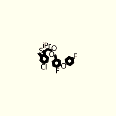 CC(C)C(C(=O)OCc1ccc(F)c(Oc2ccc(F)cc2)c1)c1scc2cc(Cl)ccc12